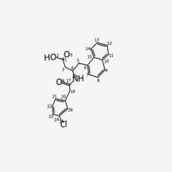 O=C(O)CC(Cc1cccc2ccccc12)NC(=O)Cc1cccc(Cl)c1